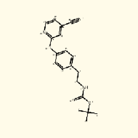 CC(C)(C)OC(=O)NCCc1ccc(Oc2cc(C#N)ncn2)cc1